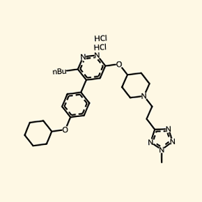 CCCCc1nnc(OC2CCN(CCc3nnn(C)n3)CC2)cc1-c1ccc(OC2CCCCC2)cc1.Cl.Cl